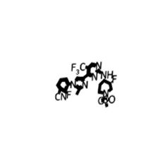 Cc1nc(-c2nc(N[C@H]3CCN(S(C)(=O)=O)C[C@H]3F)ncc2C(F)(F)F)cn1-c1cccc(C#N)c1F